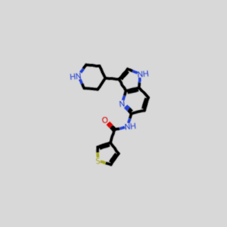 O=C(Nc1ccc2[nH]cc(C3CCNCC3)c2n1)c1ccsc1